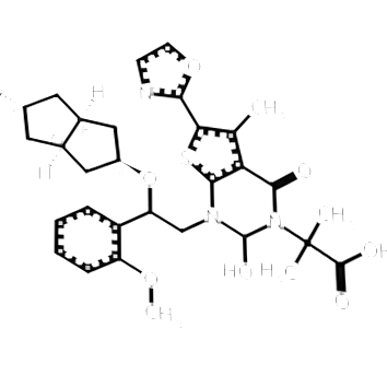 COc1ccccc1C(CN1c2sc(-c3ncco3)c(C)c2C(=O)N(C(C)(C)C(=O)O)C1O)O[C@H]1C[C@H]2C[C@H](F)C[C@H]2C1